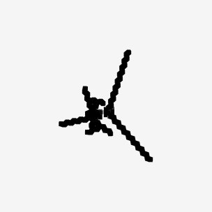 CCCCCCCCC1=C(c2cc(CC)cc(CCCC)c2)[N+](=[N-])C(c2cc(CC)cc(CCCC)c2)=C1.CCCCCCCCCCCCCCCCC[CH2][Ni][CH2]CCCCCCCCCCCCCCCCC